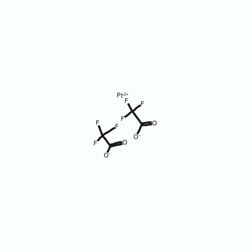 O=C([O-])C(F)(F)F.O=C([O-])C(F)(F)F.[Pt+2]